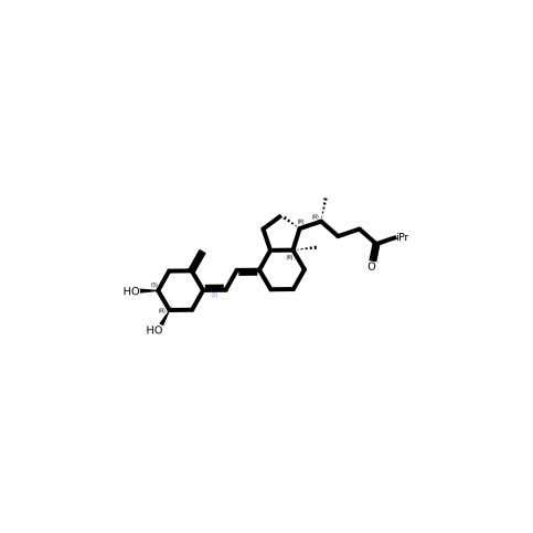 C=C1C[C@H](O)[C@H](O)C/C1=C/C=C1CCC[C@@]2(C)C1CC[C@@H]2[C@H](C)CCC(=O)C(C)C